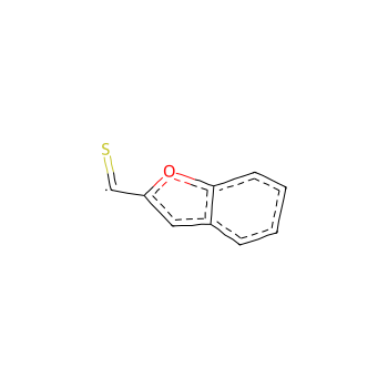 S=[C]c1cc2ccccc2o1